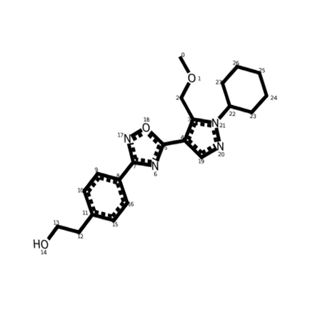 COCc1c(-c2nc(-c3ccc(CCO)cc3)no2)cnn1C1CCCCC1